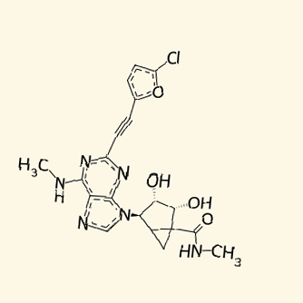 CNC(=O)C12CC1[C@@H](n1cnc3c(NC)nc(C#Cc4ccc(Cl)o4)nc31)[C@H](O)[C@@H]2O